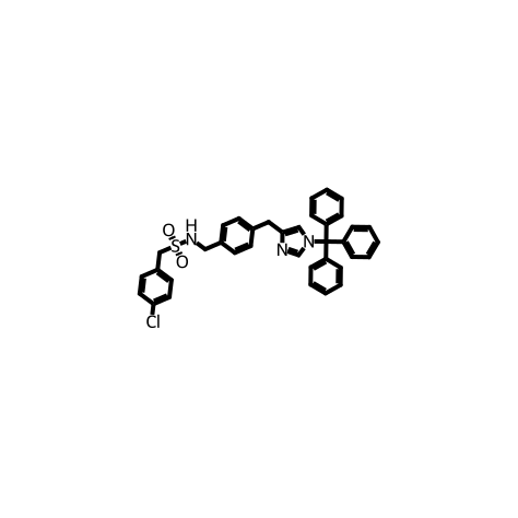 O=S(=O)(Cc1ccc(Cl)cc1)NCc1ccc(Cc2cn(C(c3ccccc3)(c3ccccc3)c3ccccc3)cn2)cc1